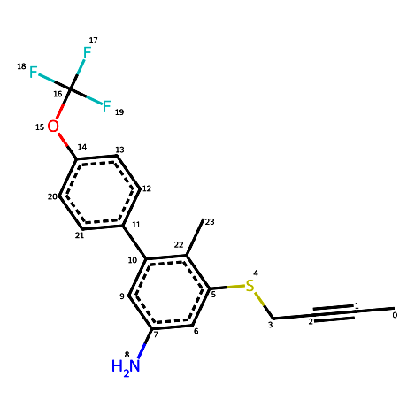 CC#CCSc1cc(N)cc(-c2ccc(OC(F)(F)F)cc2)c1C